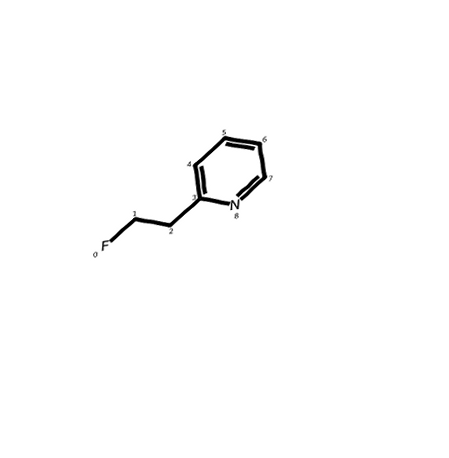 FCCc1ccccn1